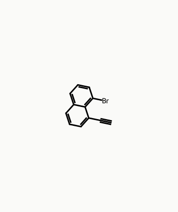 C#Cc1cccc2cccc(Br)c12